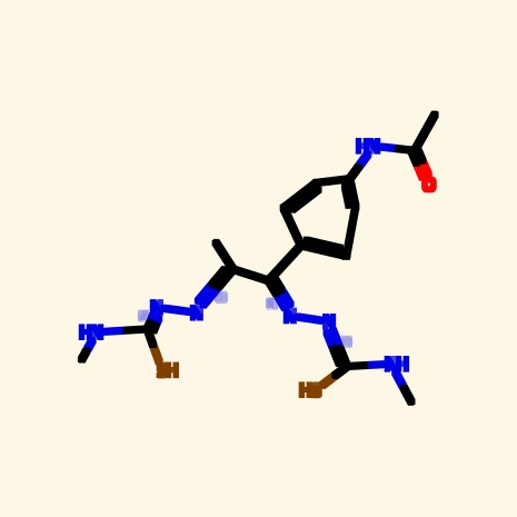 CN/C(S)=N/N=C(C)/C(=N/N=C(\S)NC)c1ccc(NC(C)=O)cc1